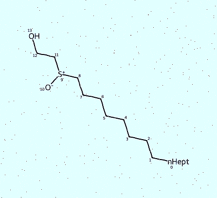 CCCCCCCCCCCCCCC[S+]([O-])CCO